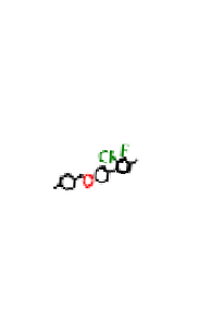 Cc1ccc(C2=CCC(OCC3CCC(C)CC3)CC2)c(Cl)c1F